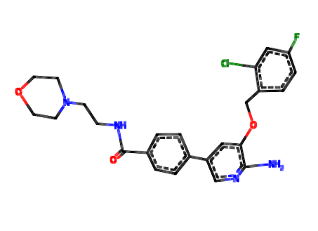 Nc1ncc(-c2ccc(C(=O)NCCN3CCOCC3)cc2)cc1OCc1ccc(F)cc1Cl